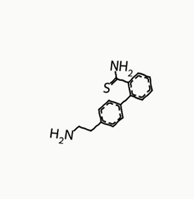 NCCc1ccc(-c2ccccc2C(N)=S)cc1